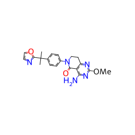 COc1nc(N)c2c(n1)CCN(c1ccc(C(C)(C)c3ncco3)cc1)C2=O